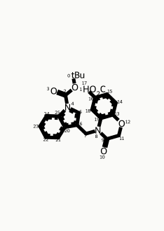 CC(C)(C)OC(=O)n1cc(CN2C(=O)COc3ccc(C(=O)O)cc32)c2ccccc21